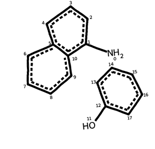 Nc1cccc2ccccc12.Oc1ccccc1